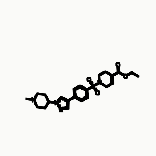 CCOC(=O)C1=CCN(S(=O)(=O)c2ccc(-c3cnn(C4CCN(C)CC4)c3)cc2)CC1